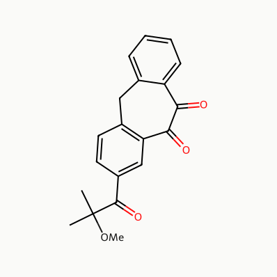 COC(C)(C)C(=O)c1ccc2c(c1)C(=O)C(=O)c1ccccc1C2